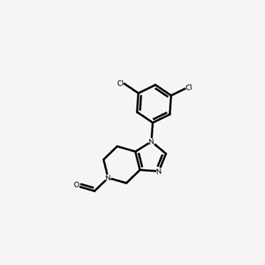 O=CN1CCc2c(ncn2-c2cc(Cl)cc(Cl)c2)C1